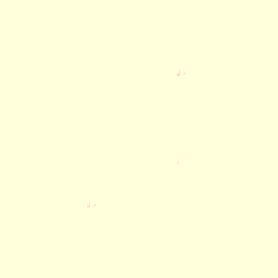 CCCCc1ccc(Bc2ccc(CCCC)cc2)cc1